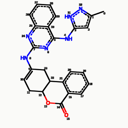 Cc1cc(Nc2nc(NC3=CCC4OC(=O)c5ccccc5C4C3)nc3ccccc23)[nH]n1